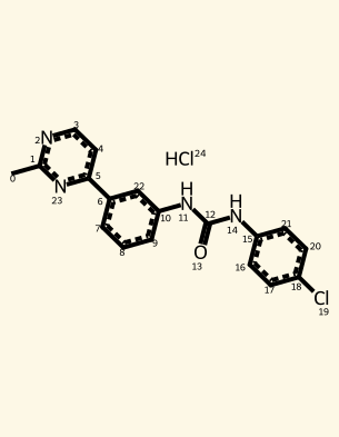 Cc1nccc(-c2cccc(NC(=O)Nc3ccc(Cl)cc3)c2)n1.Cl